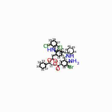 CCC1(NCc2cc(C(=O)OCC(OC(=O)Cc3ccccc3Nc3c(Cl)cccc3Cl)c3ccccc3)cc(Br)c2N)CCCCC1